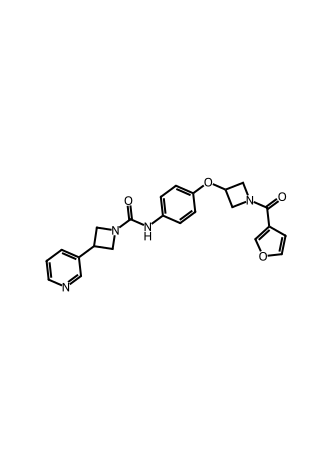 O=C(Nc1ccc(OC2CN(C(=O)c3ccoc3)C2)cc1)N1CC(c2cccnc2)C1